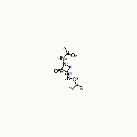 CC(=O)NN1C/C(=N\OC(C)C)C1=O